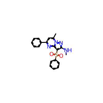 CNc1nn2c(C)cc(-c3ccccc3)nc2c1S(=O)(=O)c1ccccc1